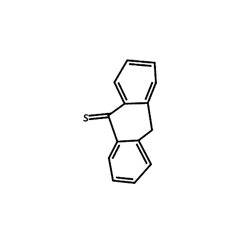 S=C1c2ccccc2Cc2ccccc21